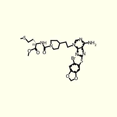 COC(=O)[C@H](CCSC)NC(=O)N1CCC(CCn2cnc(N)c3nc(Sc4cc5c(cc4Br)OCO5)nc2-3)CC1